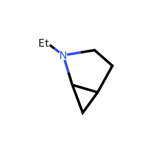 CCN1CCC2CC21